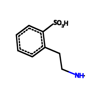 [NH]CCc1ccccc1S(=O)(=O)O